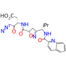 CC(C)[C@H](NC(=O)c1ccc2ccccc2n1)C1=NOC(C(=O)N[C@@H](CC(=O)O)C(=O)C=[N+]=[N-])C1